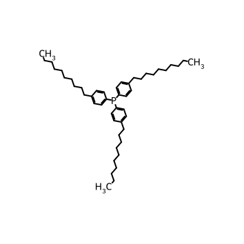 CCCCCCCCCCc1ccc(P(c2ccc(CCCCCCCCCC)cc2)c2ccc(CCCCCCCCCC)cc2)cc1